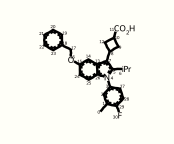 Cc1cc(-n2c(C(C)C)c(C3CC(C(=O)O)C3)c3cc(OCc4ccccc4)ccc32)ccc1F